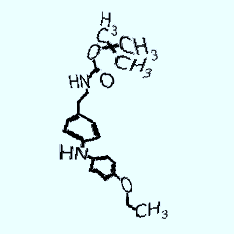 CCOc1ccc(Nc2ccc(CCNC(=O)OC(C)(C)C)cc2)cc1